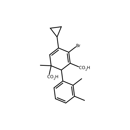 Cc1cccc(C2C(C(=O)O)=C(Br)C(C3CC3)=CC2(C)C(=O)O)c1C